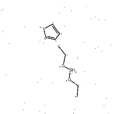 CCO[SiH2]OCC.c1ccsc1